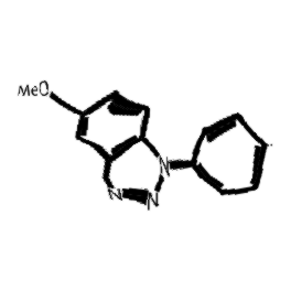 COc1ccc2c(c1)nnn2-c1cc[c]cc1